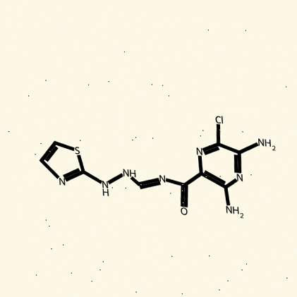 Nc1nc(N)c(C(=O)N=CNNc2nccs2)nc1Cl